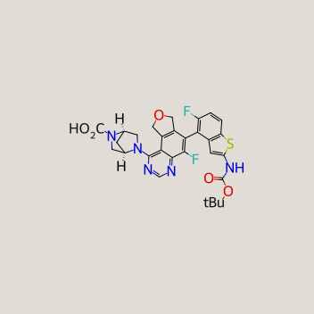 CC(C)(C)OC(=O)Nc1cc2c(-c3c4c(c5c(N6C[C@H]7C[C@@H]6CN7C(=O)O)ncnc5c3F)COC4)c(F)ccc2s1